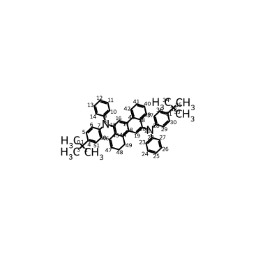 CC(C)(C)c1ccc(N(c2ccccc2)c2cc3c(cc(N(c4ccccc4)c4ccc(C(C)(C)C)cc4)c4ccccc43)c3c2C=CCC3)cc1